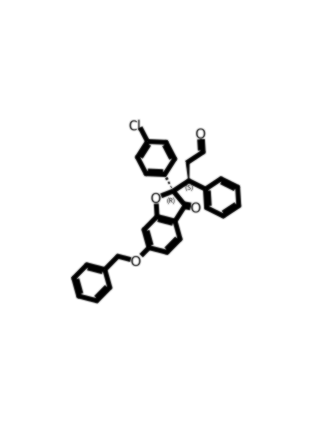 O=CC[C@@H](c1ccccc1)[C@]1(c2ccc(Cl)cc2)Oc2cc(OCc3ccccc3)ccc2C1=O